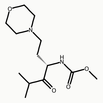 COC(=O)N[C@@H](CCN1CCOCC1)C(=O)C(C)C